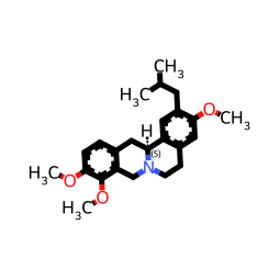 COc1cc2c(cc1CC(C)C)[C@@H]1Cc3ccc(OC)c(OC)c3CN1CC2